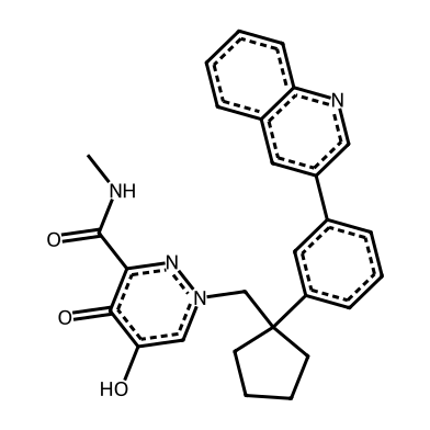 CNC(=O)c1nn(CC2(c3cccc(-c4cnc5ccccc5c4)c3)CCCC2)cc(O)c1=O